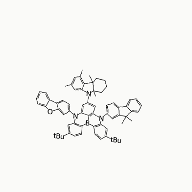 Cc1cc(C)c2c(c1)N(c1cc3c4c(c1)N(c1ccc5c(c1)oc1ccccc15)c1cc(C(C)(C)C)ccc1B4c1ccc(C(C)(C)C)cc1N3c1ccc3c(c1)C(C)(C)c1ccccc1-3)C1(C)CCCCC21C